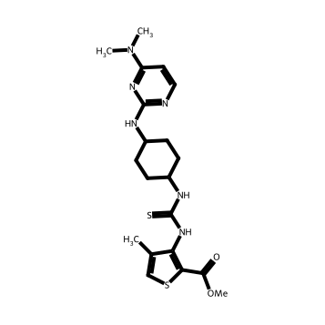 COC(=O)c1scc(C)c1NC(=S)NC1CCC(Nc2nccc(N(C)C)n2)CC1